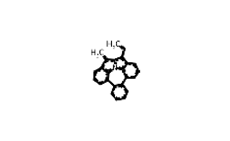 C=Cc1c2cccc3c2n2c1c(=C)c1cccc(c12)-c1ccccc1-3